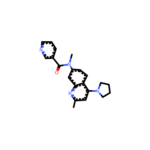 Cc1cc(N2CCCC2)c2ccc(N(C)C(=O)c3cccnc3)cc2n1